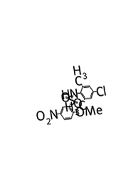 COc1ccc([N+](=O)[O-])cc1S(=O)(=O)Nc1c(C)cc(Cl)cc1C